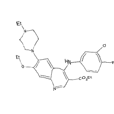 CCOC(=O)c1cnc2cc(OCC)c(N3CCN(CC)CC3)cc2c1Nc1ccc(F)c(Cl)c1